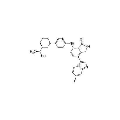 C[C@H](O)[C@H]1CCCN(c2ccc(Nc3ccc(-c4cnc5cc(F)ccn45)c4c3C(=O)NC4)nc2)C1